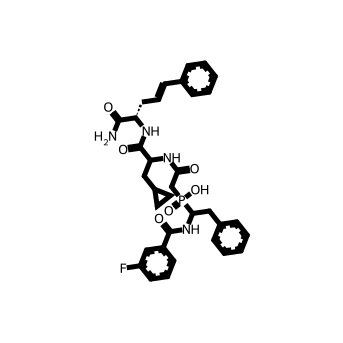 NC(=O)[C@H](CC=Cc1ccccc1)NC(=O)C(CC1CC1)NC(=O)CP(=O)(O)C(Cc1ccccc1)NC(=O)c1cccc(F)c1